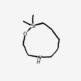 C[Si]1(C)CCCCCNCCO1